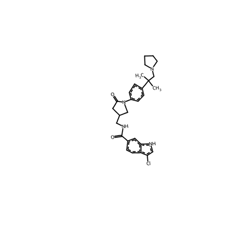 CC(C)(CN1CCCC1)c1ccc(N2CC(CNC(=O)c3ccc4c(Cl)c[nH]c4c3)CC2=O)cc1